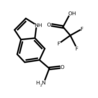 NC(=O)c1ccc2cc[nH]c2c1.O=C(O)C(F)(F)F